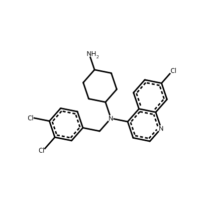 NC1CCC(N(Cc2ccc(Cl)c(Cl)c2)c2ccnc3cc(Cl)ccc23)CC1